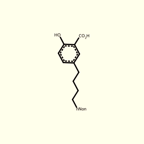 CCCCCCCCCCCCCc1ccc(O)c(C(=O)O)c1